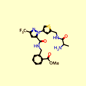 COC(=O)c1ccccc1CNC(=O)c1cc(C(F)(F)F)nn1-c1csc(CNC(=O)C(C)N)c1